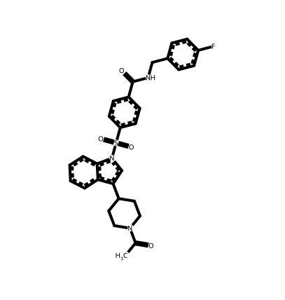 CC(=O)N1CCC(c2cn(S(=O)(=O)c3ccc(C(=O)NCc4ccc(F)cc4)cc3)c3ccccc23)CC1